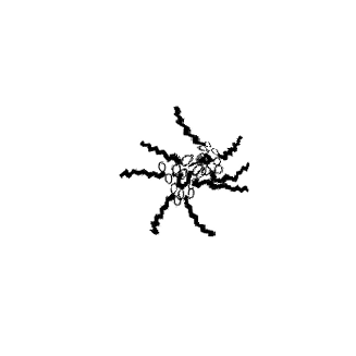 CCCCCCCCCC(=O)OC[C@H]1O[C@@](COC(=O)CCCCCCCCC)(O[C@H]2O[C@H](COC(=O)CCCCCCCCC)[C@@H](OC(=O)CCCCCCCCC)[C@H](OC(=O)CCCCCCCCC)[C@H]2OC(=O)CCCCCCCCC)[C@@H](OC(=O)CCCCCCCCC)[C@@H]1OC(=O)CCCCCCCCC